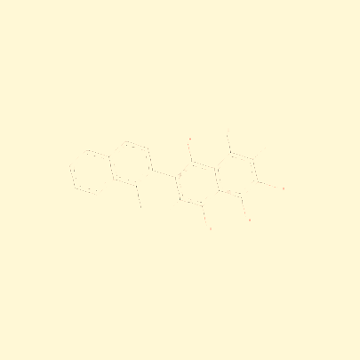 Bc1c(O)c(O)c(O)c2c(O)c(O)c(-c3ccc4ccccc4c3C)c(O)c12